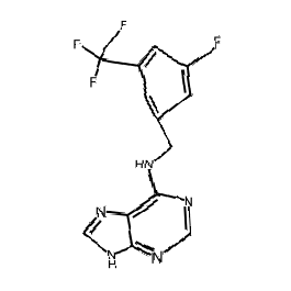 Fc1cc(CNc2ncnc3[nH]cnc23)cc(C(F)(F)F)c1